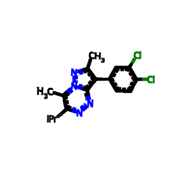 Cc1nn2c(C)c(C(C)C)nnc2c1-c1ccc(Cl)c(Cl)c1